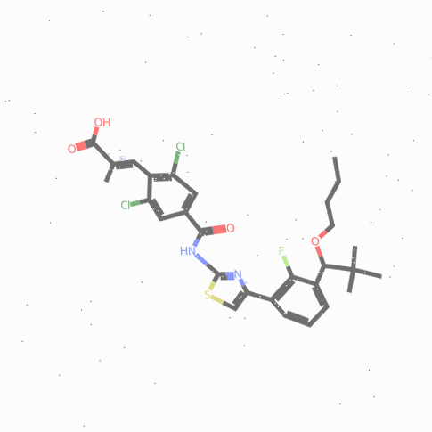 CCCCOC(c1cccc(-c2csc(NC(=O)c3cc(Cl)c(/C=C(\C)C(=O)O)c(Cl)c3)n2)c1F)C(C)(C)C